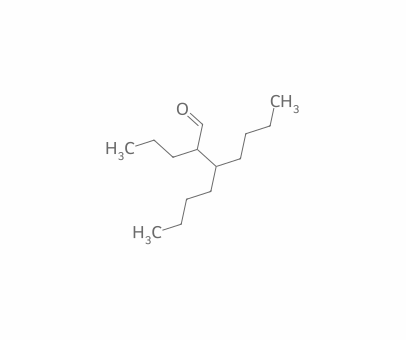 CCCCC(CCCC)C(C=O)CCC